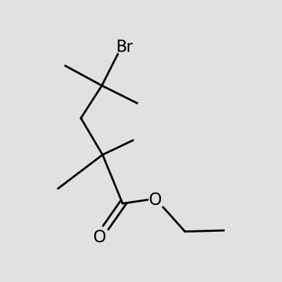 CCOC(=O)C(C)(C)CC(C)(C)Br